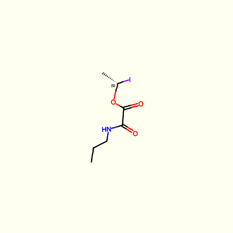 CCCNC(=O)C(=O)O[C@H](C)I